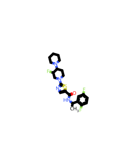 CC(NC(=O)c1cnc(N2CCC(N3CCCCC3)C(F)C2)s1)c1cc(F)ccc1F